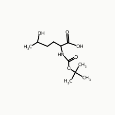 CC(O)CCC(NC(=O)OC(C)(C)C)C(=O)O